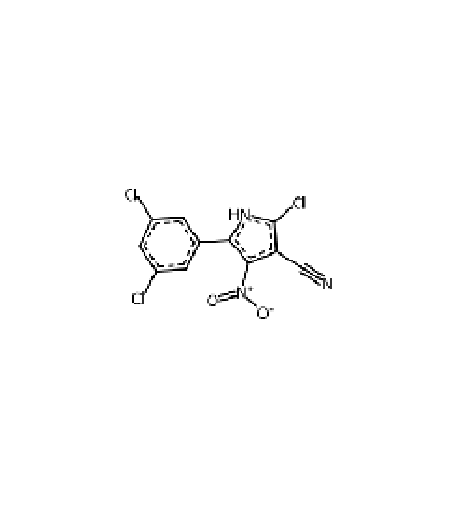 N#Cc1c(Cl)[nH]c(-c2cc(Cl)cc(Cl)c2)c1[N+](=O)[O-]